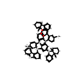 CC(C)(C)c1ccc(N2c3cc(N4c5ccccc5C5(C)CCCCC45C)ccc3B3c4ccc(C(C)(C)C)cc4N(c4cccc5sc6ccccc6c45)c4cc(N5c6ccccc6C6(C)CCCCC56C)cc2c43)c(-c2ccccc2)c1